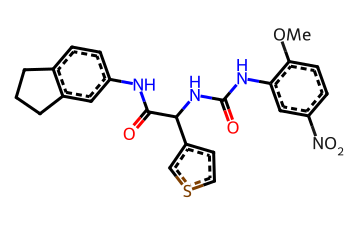 COc1ccc([N+](=O)[O-])cc1NC(=O)NC(C(=O)Nc1ccc2c(c1)CCC2)c1ccsc1